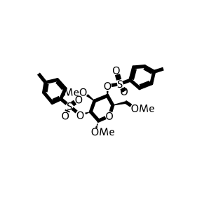 COC[C@H]1O[C@H](OC)[C@H](OS(=O)(=O)c2ccc(C)cc2)[C@@H](OC)[C@@H]1OS(=O)(=O)c1ccc(C)cc1